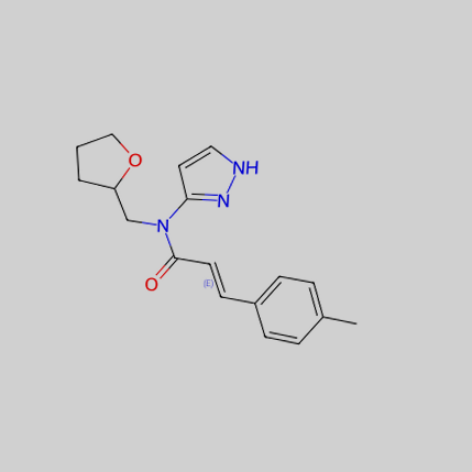 Cc1ccc(/C=C/C(=O)N(CC2CCCO2)c2cc[nH]n2)cc1